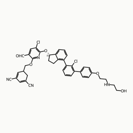 N#CC1=CC(COc2nc(O[C@H]3CCc4c(-c5cccc(-c6ccc(OCCNCCO)cc6)c5Cl)cccc43)c(Cl)cc2C=O)CC(C#N)=C1